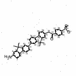 CC1(C)c2cc(N)ccc2-c2ccc(-c3ccc4c(c3)C(C)(C)c3cc(CC(=O)c5ccc([N+](=O)[O-])cc5)ccc3-4)cc21